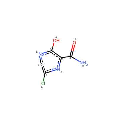 NC(=O)c1nc(Cl)cnc1O